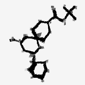 CC(C)(C)OC(=O)N1CCC2(CC1)C[C@@H](O)C[C@@H](c1ccccn1)O2